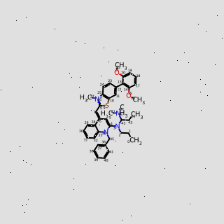 CCCN(C1=CC(=Cc2sc3cc(-c4c(OC)cccc4OC)ccc3[n+]2C)c2ccccc2N1Cc1ccccc1)C(CC)N(C)C